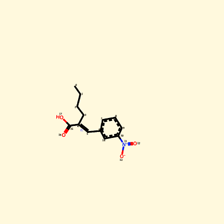 CCCC/C(=C\c1cccc([N+](=O)[O-])c1)C(=O)O